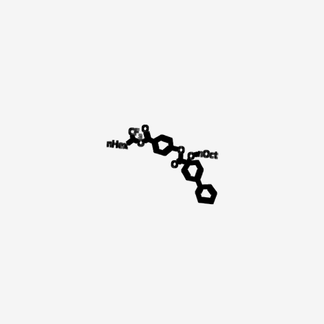 CCCCCCCCOC1(C(=O)Oc2ccc(C(=O)OC(CCCCCC)C(F)(F)F)cc2)C=CC(c2ccccc2)=CC1